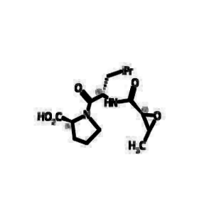 CC(C)C[C@H](NC(=O)[C@H]1OC1C)C(=O)N1CCC[C@H]1C(=O)O